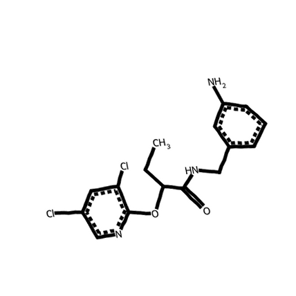 CCC(Oc1ncc(Cl)cc1Cl)C(=O)NCc1cccc(N)c1